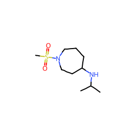 CC(C)NC1CCCN(S(C)(=O)=O)CC1